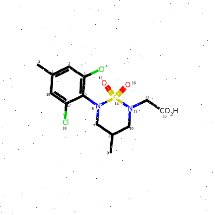 Cc1cc(Cl)c(N2CC(C)CN(CC(=O)O)S2(=O)=O)c(Cl)c1